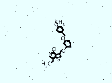 CCc1cnc(Cl)c2c(COc3cccc(OCc4ccc(OC)cc4)c3)csc12